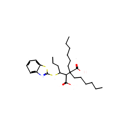 CCCCCCC(CCCCCC)(C(=O)O)C(C(=O)O)C(CCC)Sc1nc2ccccc2s1